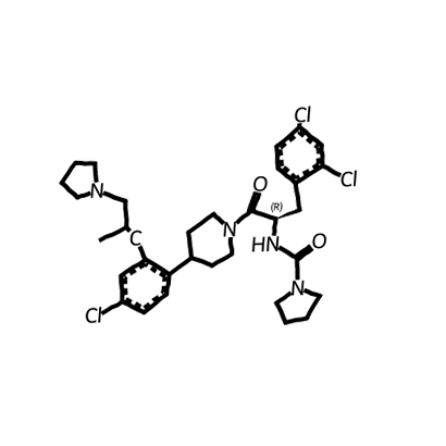 CC(Cc1cc(Cl)ccc1C1CCN(C(=O)[C@@H](Cc2ccc(Cl)cc2Cl)NC(=O)N2CCCC2)CC1)CN1CCCC1